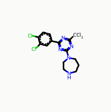 Clc1ccc(-c2nc(N3CCCNCC3)nc(C(Cl)(Cl)Cl)n2)cc1Cl